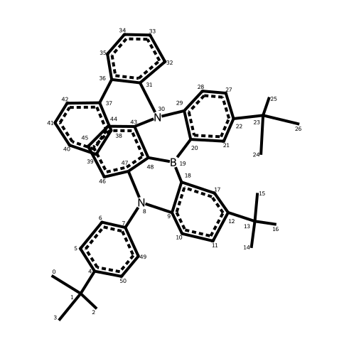 CC(C)(C)c1ccc(N2c3ccc(C(C)(C)C)cc3B3c4cc(C(C)(C)C)ccc4N(c4ccccc4-c4ccccc4)c4cccc2c43)cc1